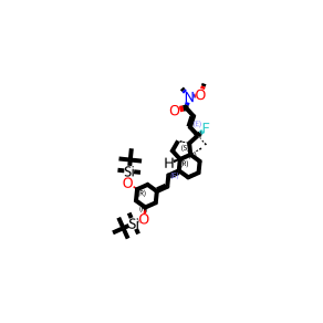 CON(C)C(=O)/C=C/[C@@](C)(F)[C@H]1CC[C@H]2/C(=C/C=C3C[C@@H](O[Si](C)(C)C(C)(C)C)C[C@H](O[Si](C)(C)C(C)(C)C)C3)CCC[C@@]21C